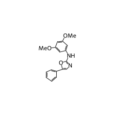 COc1cc(Nc2ncc(-c3ccccc3)o2)cc(OC)c1